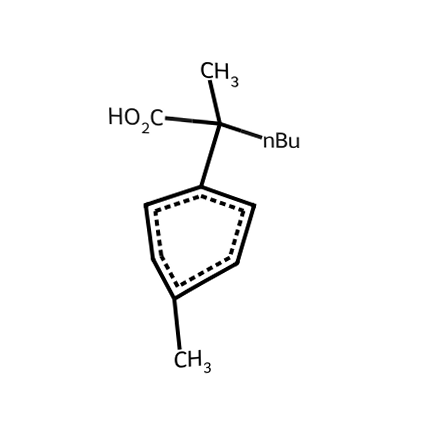 CCCCC(C)(C(=O)O)c1ccc(C)cc1